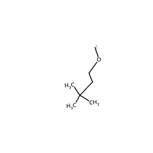 [C]OCCC(C)(C)C